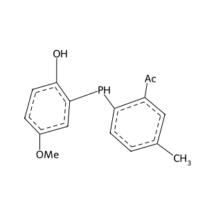 COc1ccc(O)c(Pc2ccc(C)cc2C(C)=O)c1